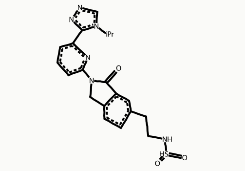 CC(C)n1cnnc1-c1cccc(N2Cc3ccc(CCN[SH](=O)=O)cc3C2=O)n1